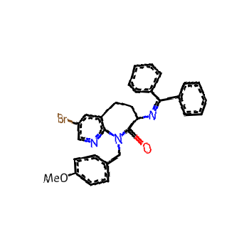 COc1ccc(CN2C(=O)C(N=C(c3ccccc3)c3ccccc3)CCc3cc(Br)cnc32)cc1